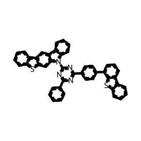 c1ccc(-c2nc(-c3ccc(-c4cccc5c4sc4ccccc45)cc3)nc(-n3c4ccccc4c4cc5c(cc43)sc3ccccc35)n2)cc1